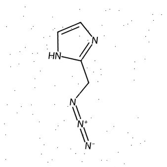 [N-]=[N+]=NCc1ncc[nH]1